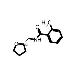 Cc1ccccc1C(=O)NC[C@@H]1CCCO1